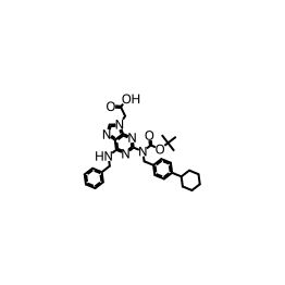 CC(C)(C)OC(=O)N(Cc1ccc(C2CCCCC2)cc1)c1nc(NCc2ccccc2)c2ncn(CC(=O)O)c2n1